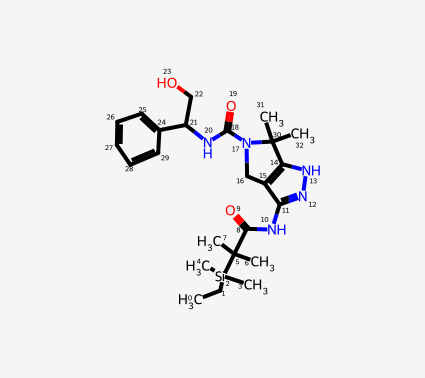 CC[Si](C)(C)C(C)(C)C(=O)Nc1n[nH]c2c1CN(C(=O)NC(CO)c1ccccc1)C2(C)C